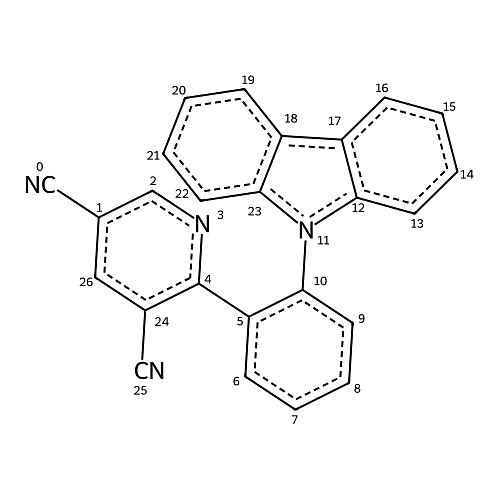 N#Cc1cnc(-c2ccccc2-n2c3ccccc3c3ccccc32)c(C#N)c1